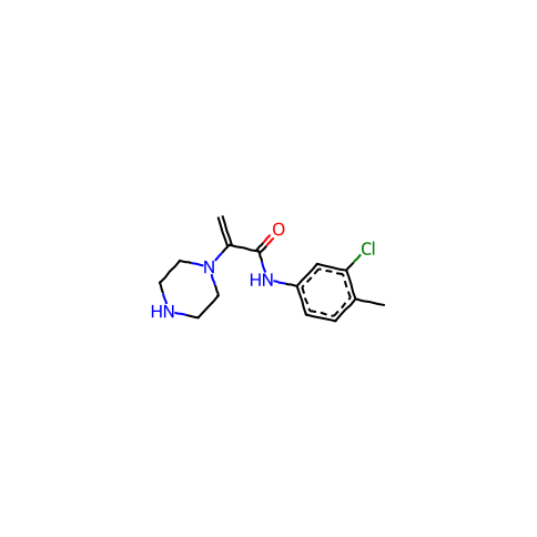 C=C(C(=O)Nc1ccc(C)c(Cl)c1)N1CCNCC1